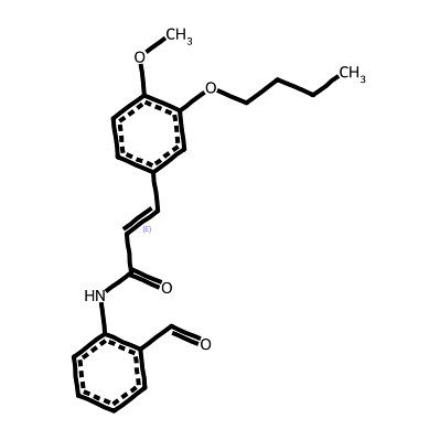 CCCCOc1cc(/C=C/C(=O)Nc2ccccc2C=O)ccc1OC